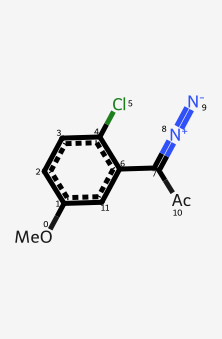 COc1ccc(Cl)c(C(=[N+]=[N-])C(C)=O)c1